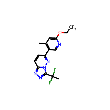 Cc1cc(OCC(F)(F)F)ncc1-c1ccc2nnc(C(C)(F)F)n2n1